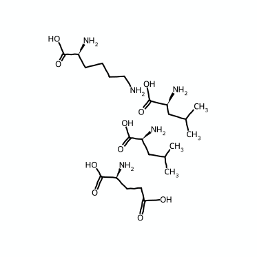 CC(C)C[C@H](N)C(=O)O.CC(C)C[C@H](N)C(=O)O.NCCCC[C@H](N)C(=O)O.N[C@@H](CCC(=O)O)C(=O)O